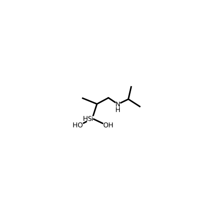 CC(C)NCC(C)[SiH](O)O